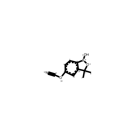 CC1(C)OB(O)c2ccc(OC#N)cc21